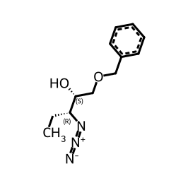 CC[C@@H](N=[N+]=[N-])[C@H](O)COCc1ccccc1